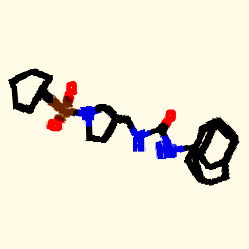 O=C(NCC1CCN(S(=O)(=O)C2CCCCC2)C1)NC12CC3CC(CC(C3)C1)C2